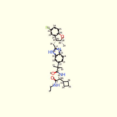 CCNC(=O)[C@H](NC(=O)C(C)(C)c1ccc2nc(C[C@@H]3c4cc(F)ccc4O[C@@H]3C)[nH]c2c1)C1CCC1